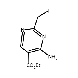 CCOC(=O)c1cnc(CI)nc1N